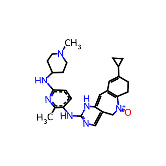 Cc1nc(NC2CCN(C)CC2)ccc1NC1=NC=C2C[N+](=O)C3=C(C=C2N1)C=C(C1CC1)CC3